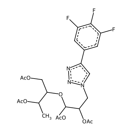 CC(=O)OCC(OC(OC(C)=O)C(Cn1cc(-c2cc(F)c(F)c(F)c2)nn1)OC(C)=O)C(C)OC(C)=O